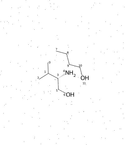 CC(C)[C@H](N)CO.CCCCO